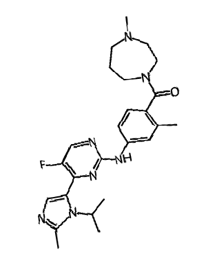 Cc1cc(Nc2ncc(F)c(-c3cnc(C)n3C(C)C)n2)ccc1C(=O)N1CCCN(C)CC1